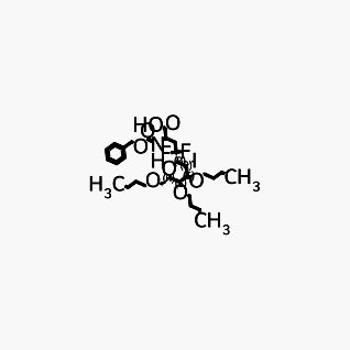 CCCCOC[C@H]1O[C@H](C(F)(F)CC(NC(=O)OCc2ccccc2)C(=O)O)[C@H](I)[C@@H](OCCCC)[C@H]1OCCCC